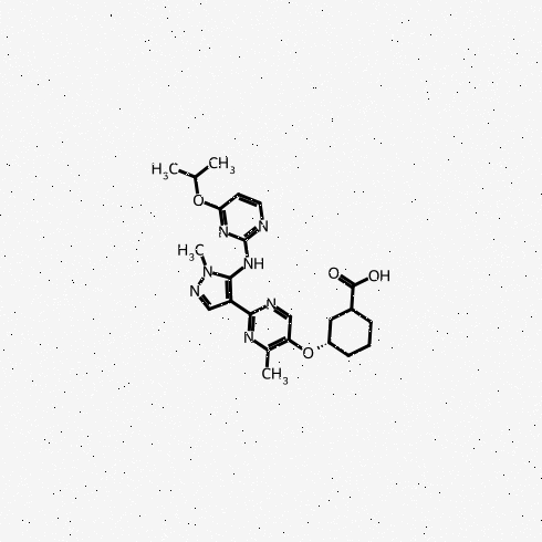 Cc1nc(-c2cnn(C)c2Nc2nccc(OC(C)C)n2)ncc1O[C@H]1CCCC(C(=O)O)C1